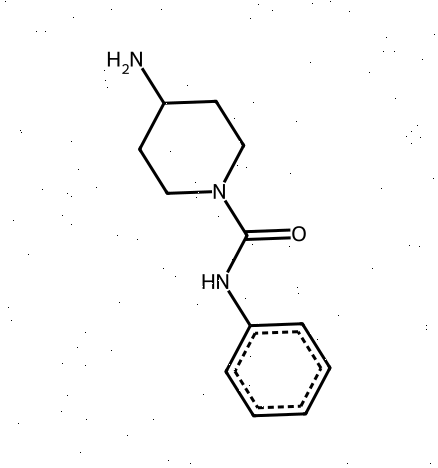 NC1CCN(C(=O)Nc2ccccc2)CC1